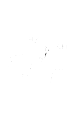 CN(C)[C@H](c1ccccc1)C1CCCC1